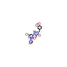 O=C(NCc1ccc2c(c1)OCO2)C(CO)Nc1cc(Cl)nc(-n2ccnc2)n1